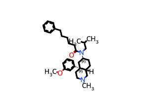 COc1cccc([C@@]23CCN(C)C[C@H]2CC[C@@H](N(CC(C)C)C(=O)CCCCCc2ccccc2)C3)c1